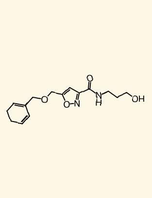 O=C(NCCCO)c1cc(COCC2=CCCC=C2)on1